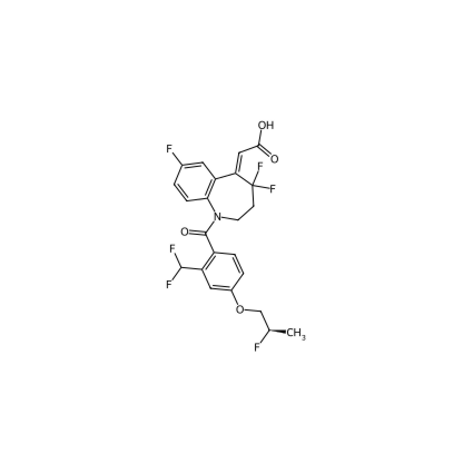 C[C@@H](F)COc1ccc(C(=O)N2CCC(F)(F)/C(=C\C(=O)O)c3cc(F)ccc32)c(C(F)F)c1